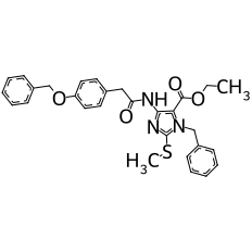 CCOC(=O)c1c(NC(=O)Cc2ccc(OCc3ccccc3)cc2)nc(SC)n1Cc1ccccc1